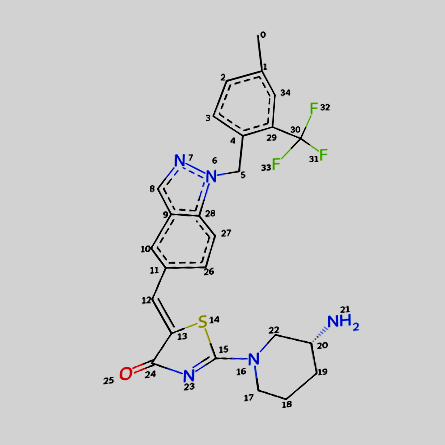 Cc1ccc(Cn2ncc3cc(/C=C4\SC(N5CCC[C@@H](N)C5)=NC4=O)ccc32)c(C(F)(F)F)c1